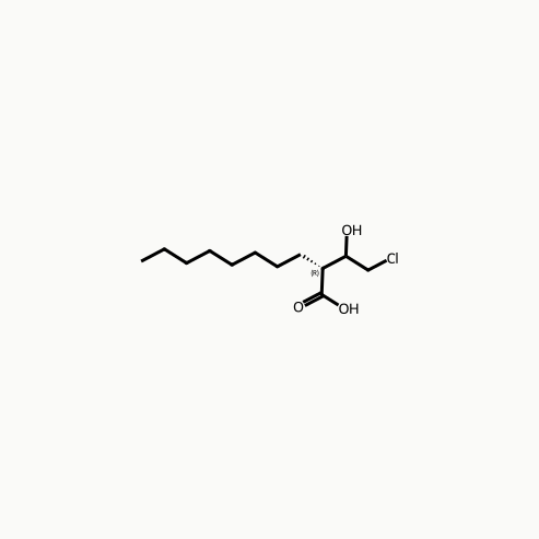 CCCCCCCC[C@@H](C(=O)O)C(O)CCl